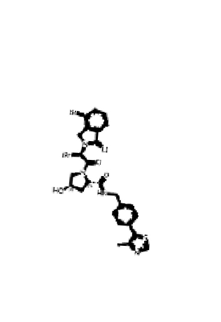 Cc1ncsc1-c1ccc(CNC(=O)[C@@H]2C[C@@H](O)CN2C(=O)C(C(C)C)N2Cc3c(Br)cccc3C2=O)cc1